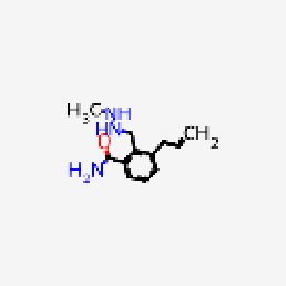 C=CCc1cccc(C(N)=O)c1CNNC